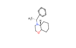 C[C@H](c1ccccc1)N1CCOC2CCCC[C@H]21